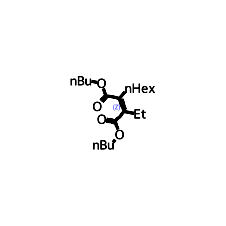 CCCCCC/C(C(=O)OCCCC)=C(\CC)C(=O)OCCCC